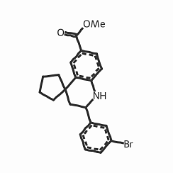 COC(=O)c1ccc2c(c1)C1(CCCC1)CC(c1cccc(Br)c1)N2